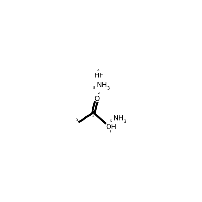 CC(=O)O.F.N.N